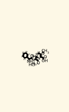 COC1=C(C(=O)O)N2C(=O)[C@@H](NC(=O)C(N)C3=CCC=CC3)[C@H]2SC1.Cl